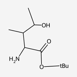 CC(O)C(C)C(N)C(=O)OC(C)(C)C